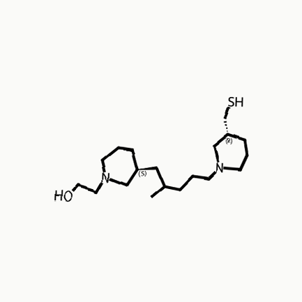 CC(CCCN1CCC[C@@H](CS)C1)C[C@@H]1CCCN(CCO)C1